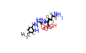 Cc1ccc(CNCC(=O)NC(CCCCN)C(=O)O)cc1